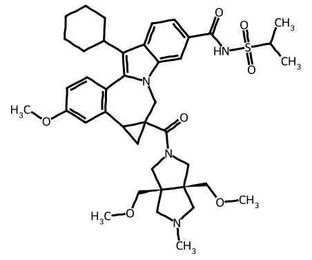 COC[C@@]12CN(C)C[C@]1(COC)CN(C(=O)C13CC1c1cc(OC)ccc1-c1c(C4CCCCC4)c4ccc(C(=O)NS(=O)(=O)C(C)C)cc4n1C3)C2